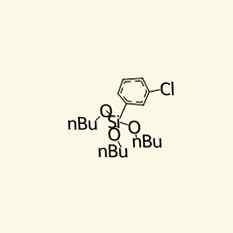 CCCCO[Si](OCCCC)(OCCCC)c1cccc(Cl)c1